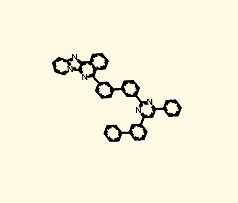 c1ccc(-c2cccc(-c3cc(-c4ccccc4)nc(-c4cccc(-c5cccc(-c6nc7c(nc8ccccn87)c7ccccc67)c5)c4)n3)c2)cc1